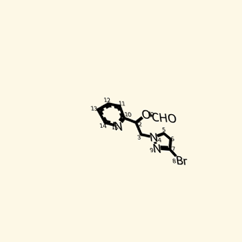 O=COC(CN1CCC(Br)=N1)c1ccccn1